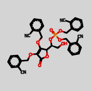 N#Cc1ccccc1COC1=C(OCc2ccccc2C#N)[C@@H]([C@H](CO)OP(=O)(OCc2ccccc2C#N)OCc2ccccc2C#N)OC1=O